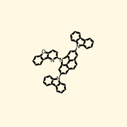 c1ccc2c(c1)oc1ccc(-n3c4cc(-n5c6ccccc6c6ccccc65)cc5ccc6cc(-n7c8ccccc8c8ccccc87)cc3c6c54)nc12